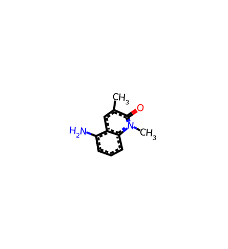 Cc1cc2c(N)cccc2n(C)c1=O